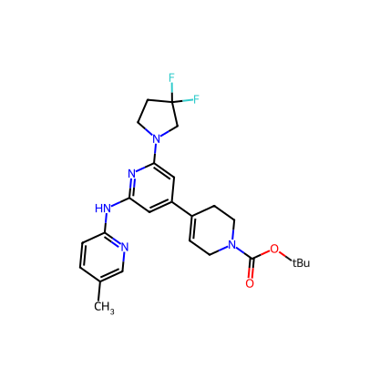 Cc1ccc(Nc2cc(C3=CCN(C(=O)OC(C)(C)C)CC3)cc(N3CCC(F)(F)C3)n2)nc1